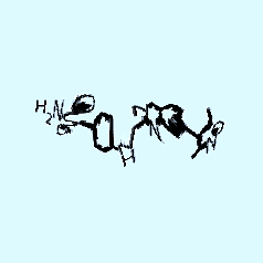 Cc1noc(C)c1-c1ccc2cnc(Nc3ccc(S(N)(=O)=O)cc3)nc2c1